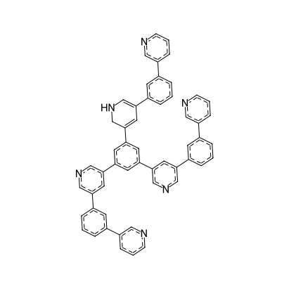 C1=C(c2cccc(-c3cccnc3)c2)C=C(c2cc(-c3cncc(-c4cccc(-c5cccnc5)c4)c3)cc(-c3cncc(-c4cccc(-c5cccnc5)c4)c3)c2)CN1